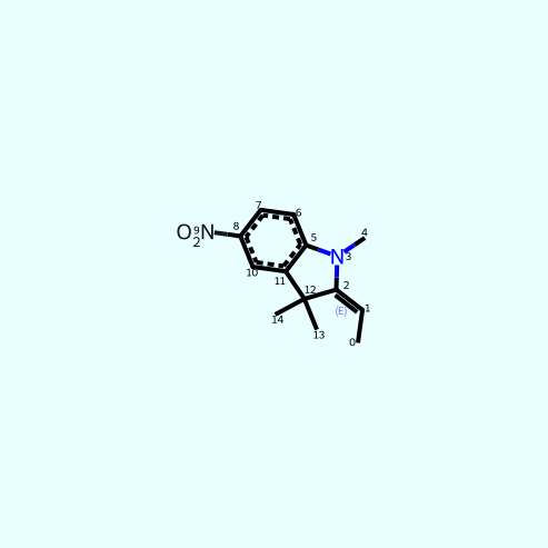 C/C=C1/N(C)c2ccc([N+](=O)[O-])cc2C1(C)C